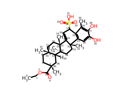 CCOC(=O)[C@]1(C)CC[C@]2(C)CC[C@]3(C)C4=CC(S(=O)(=O)O)c5c(cc(O)c(O)c5C)[C@]4(C)CC[C@@]3(C)[C@@H]2C1